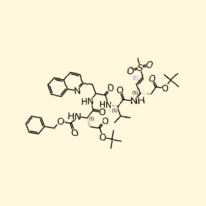 CC(C)[C@H](NC(=O)C(Cc1ccc2ccccc2n1)NC(=O)[C@H](CC(=O)OC(C)(C)C)NC(=O)OCc1ccccc1)C(=O)N[C@H](/C=C/S(C)(=O)=O)CC(=O)OC(C)(C)C